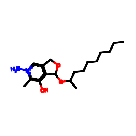 CCCCCCCCC(C)OC1OCc2c[n+](N)c(C)c(O)c21